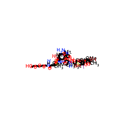 CCN(C(=O)CN)C1COCC(OC2C(O[C@H]3C#C/C=C\C#C[C@]4(O)CC(=O)C(NC(=O)OC)C3/C4=C\CSSC(C)(C)CCC(=O)NCCOCCOCCOCCO)OC(C)C(NOC3CC(O)C(SC(=O)c4c(C)c(I)c(OC5OC(C)C(O)C(OC)C5O)c(OC)c4OC)C(C)O3)C2O)C1OC